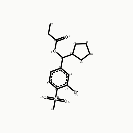 CCC(=O)OC(c1ccc(S(C)(=O)=O)c(Br)c1)C1CCCC1